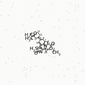 CCOC(=O)c1cc2cc(C3CCOC(C)(C)C3)ccc2n1C1(C2=NC(=O)[SiH2]S2)CC1